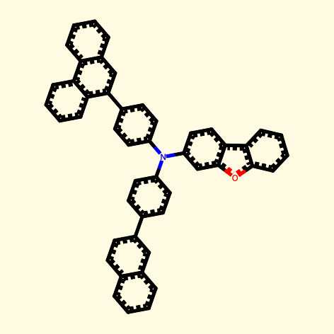 c1ccc2cc(-c3ccc(N(c4ccc(-c5cc6ccccc6c6ccccc56)cc4)c4ccc5c(c4)oc4ccccc45)cc3)ccc2c1